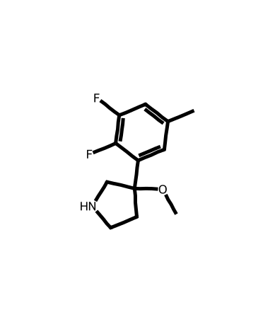 COC1(c2cc(C)cc(F)c2F)CCNC1